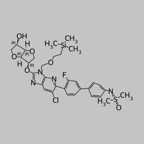 C[Si](C)(C)CCOCn1c(O[C@@H]2CO[C@H]3[C@@H]2OC[C@H]3O)nc2cc(Cl)c(-c3ccc(-c4ccc(N=S(C)(C)=O)cc4)cc3F)nc21